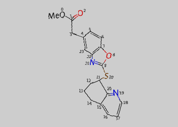 COC(=O)Cc1ccc2oc(SC3CCCc4cccnc43)nc2c1